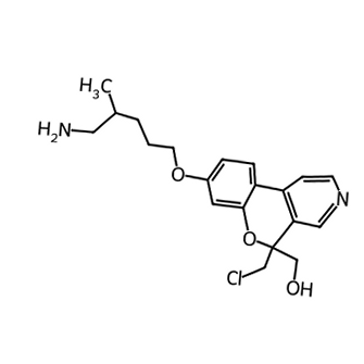 CC(CN)CCCOc1ccc2c(c1)OC(CO)(CCl)c1cnccc1-2